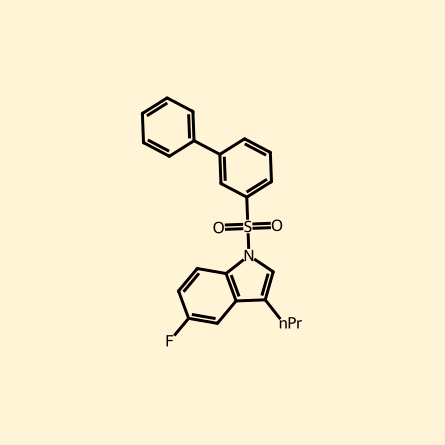 CCCc1cn(S(=O)(=O)c2cccc(-c3ccccc3)c2)c2ccc(F)cc12